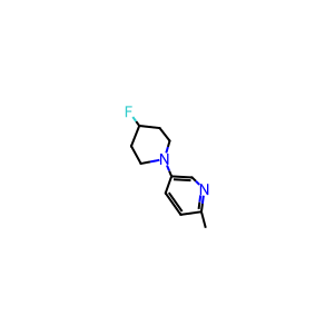 Cc1ccc(N2CCC(F)CC2)cn1